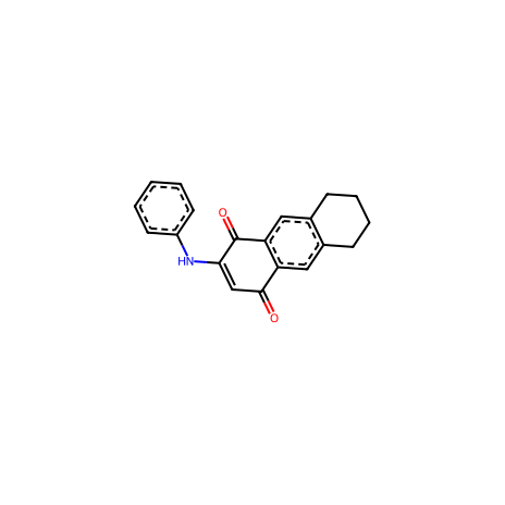 O=C1C=C(Nc2ccccc2)C(=O)c2cc3c(cc21)CCCC3